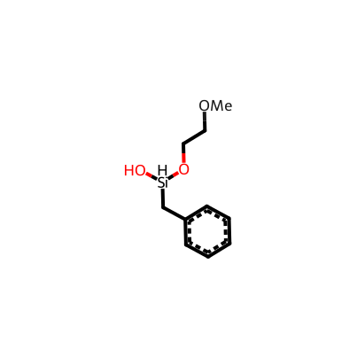 COCCO[SiH](O)Cc1ccccc1